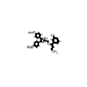 C=C/C=C(\OCc1nc(-c2ccc(OC)cc2)c(-c2ccc(OC)cc2)[nH]1)c1cccc(Cl)c1